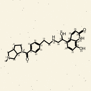 CN1CC2CCN(C(=O)c3ccc(CCNCC(O)c4ccc(O)c5[nH]c(=O)ccc45)cc3)C2C1